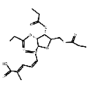 C=[N+](/C=C\C=C(/C)C(=O)O)[C@@H]1O[C@H](COC(=O)CC)[C@@H](OC(=O)CC)[C@H]1OC(=O)CC